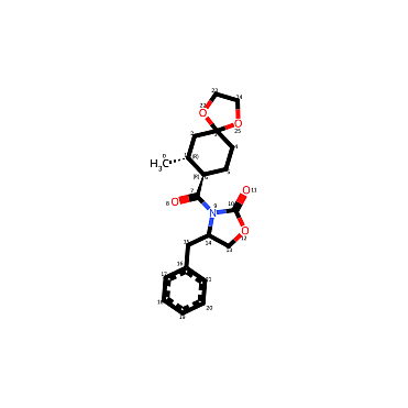 C[C@@H]1CC2(CC[C@H]1C(=O)N1C(=O)OCC1Cc1ccccc1)OCCO2